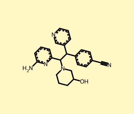 N#Cc1ccc(C(c2cccnc2)C(c2cccc(N)n2)N2CCCC(O)C2)cc1